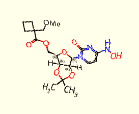 COCC1(C(=O)OC[C@H]2O[C@@H](n3ccc(NO)nc3=O)[C@@H]3OC(C)(C)O[C@@H]32)CCC1